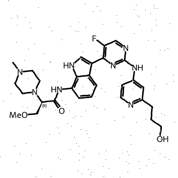 COC[C@H](C(=O)Nc1cccc2c(-c3nc(Nc4ccnc(CCCO)c4)ncc3F)c[nH]c12)N1CCN(C)CC1